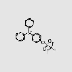 O=S(=O)([O-])C(F)(F)F.c1ccc([S+](c2ccccc2)c2ccccc2)cc1